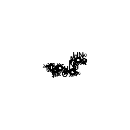 CNc1cc2ncnc(Oc3cc(C(=O)Nc4ccc(N5CCN(C)CC5)c(C(F)(F)F)c4)ccc3C)c2cc1OC